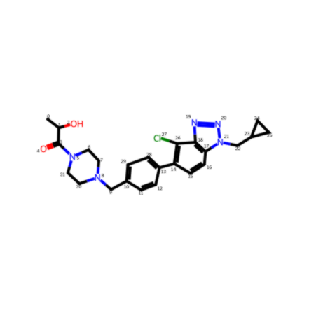 CC(O)C(=O)N1CCN(Cc2ccc(-c3ccc4c(nnn4CC4CC4)c3Cl)cc2)CC1